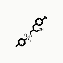 Cc1ccc(S(=O)(=O)OCC(CO)Cc2ccc(Br)cc2)cc1